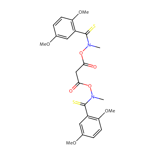 COc1ccc(OC)c(C(=S)N(C)OC(=O)CC(=O)ON(C)C(=S)c2cc(OC)ccc2OC)c1